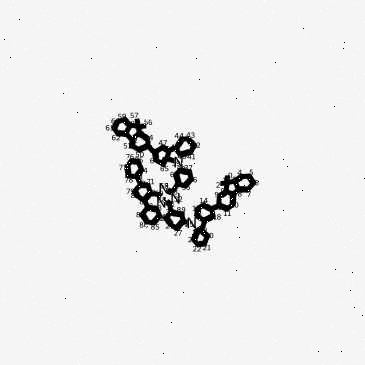 CC1(C)c2ccccc2-c2ccc(-c3ccc4c(c3)c3ccccc3n4-c3cccc(-c4nc(-c5cccc(-n6c7ccccc7c7cc(-c8ccc9c(c8)C(C)(C)c8ccccc8-9)ccc76)c5)nc(-c5cc(-c6ccccc6)ccc5-c5ccccc5)n4)c3)cc21